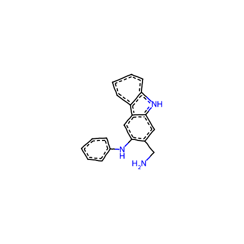 NCc1cc2[nH]c3ccccc3c2cc1Nc1ccccc1